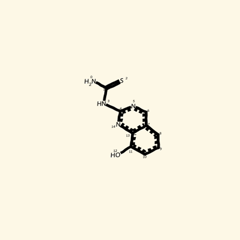 NC(=S)Nc1ncc2cccc(O)c2n1